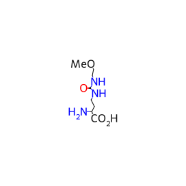 COCCNC(=O)NCC[C@H](N)C(=O)O